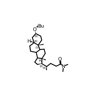 CCC(C)O[C@@H]1CC[C@]2(C)C3CC[C@@]4(C)C(CC[C@@H]4[C@H](C)CCC(=O)N(C)C)C3CC[C@@H]2C1